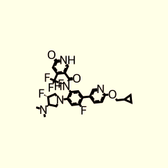 CN(C)[C@@H]1CN(c2cc(F)c(-c3ccc(OCC4CC4)nc3)cc2NC(=O)c2c[nH]c(=O)cc2C(F)(F)F)C[C@H]1F